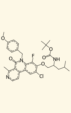 COc1ccc(Cn2c(=O)c3c(C)nccc3c3cc(Cl)c(OCC(CC(C)C)NC(=O)OC(C)(C)C)c(F)c32)cc1